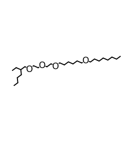 CCCCCCCCOCCCCCCOCCOCCOCC(CC)CCCC